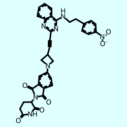 O=C1CCC(N2C(=O)c3ccc(N4CC(C#Cc5nc(NCCc6ccc([N+](=O)[O-])cc6)c6ccccc6n5)C4)cc3C2=O)C(=O)N1